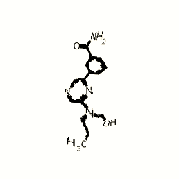 CCCN(CO)c1cncc(-c2cccc(C(N)=O)c2)n1